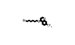 FC(F)(F)c1ccc2c(SCCCCCCBr)ccnc2c1